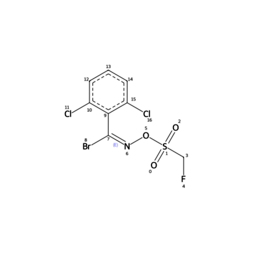 O=S(=O)(CF)O/N=C(/Br)c1c(Cl)cccc1Cl